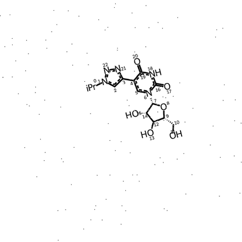 CC(C)n1cc(-c2cn([C@@H]3O[C@H](CO)C(O)[C@@H]3O)c(=O)[nH]c2=O)nn1